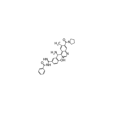 Cc1cc2c(C(N)c3cc(C(=N)NC(=O)c4ccccc4)ccc3O)ncnc2cc1C(=O)N1CCCC1